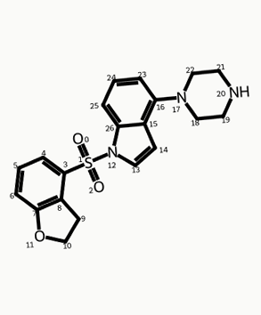 O=S(=O)(c1cccc2c1CCO2)n1ccc2c(N3CCNCC3)cccc21